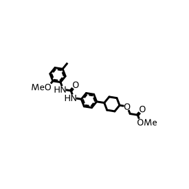 COC(=O)COC1CCC(c2ccc(NC(=O)Nc3cc(C)ccc3OC)cc2)CC1